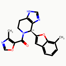 Cc1ncoc1C(=O)N1CCc2[nH]cnc2[C@H]1c1cc2cccc(C)c2o1